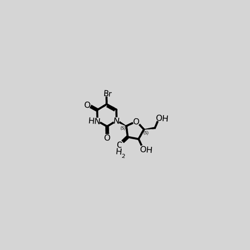 C=C1C(O)[C@H](CO)O[C@@H]1n1cc(Br)c(=O)[nH]c1=O